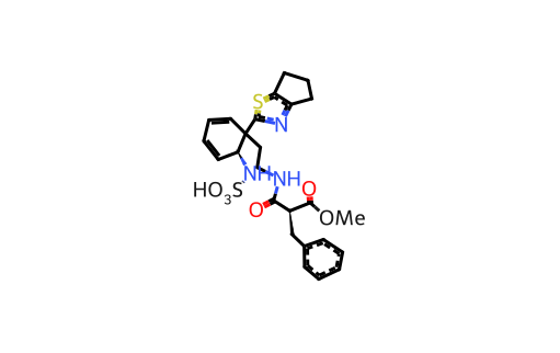 COC(=O)[C@@H](Cc1ccccc1)C(=O)NCCC1(c2nc3c(s2)CCC3)C=CC=C[C@@H]1NS(=O)(=O)O